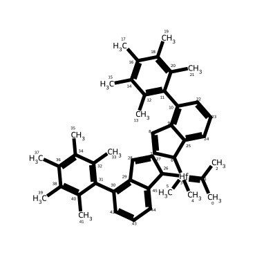 C[C](C)=[Hf]([CH3])([CH3])([CH]1C=Cc2c(-c3c(C)c(C)c(C)c(C)c3C)cccc21)[CH]1C=Cc2c(-c3c(C)c(C)c(C)c(C)c3C)cccc21